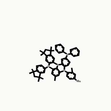 Cc1cc2c3c(c1)N(c1ccc(C(C)(C)C)cc1C)c1ccc(N(c4ccccc4)c4ccccc4)cc1B3c1cc3c(cc1N2c1ccc2c(c1)C(C)(C)CC2(C)C)C(C)(C)CC3(C)C